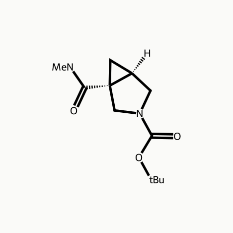 CNC(=O)[C@]12C[C@H]1CN(C(=O)OC(C)(C)C)C2